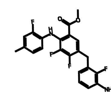 COC(=O)c1cc(Cc2cccc(N)c2F)c(F)c(F)c1Nc1ccc(C)cc1F